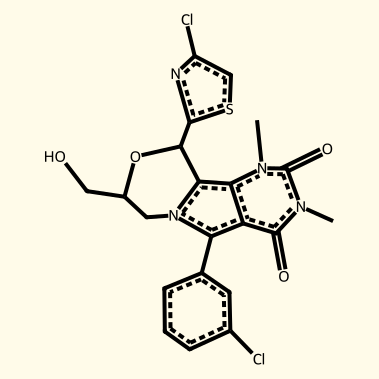 Cn1c(=O)c2c(-c3cccc(Cl)c3)n3c(c2n(C)c1=O)C(c1nc(Cl)cs1)OC(CO)C3